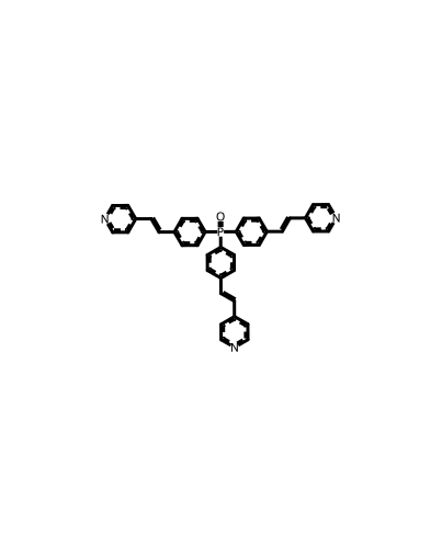 O=P(c1ccc(/C=C/c2ccncc2)cc1)(c1ccc(/C=C/c2ccncc2)cc1)c1ccc(/C=C/c2ccncc2)cc1